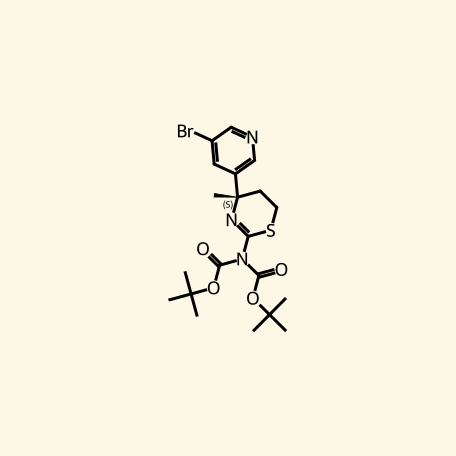 CC(C)(C)OC(=O)N(C(=O)OC(C)(C)C)C1=N[C@](C)(c2cncc(Br)c2)CCS1